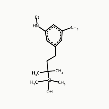 CCNc1cc(C)cc(CCC(C)(C)[Si](C)(C)O)c1